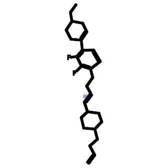 C=CCCC1CCC(/C=C/CCc2ccc(C3=CCC(CC)CC3)c(F)c2F)CC1